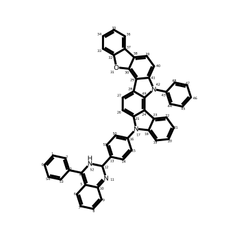 c1ccc(C2=c3ccccc3=NC(c3ccc(-n4c5ccccc5c5c4ccc4c6c7oc8ccccc8c7ccc6n(-c6ccccc6)c45)cc3)N2)cc1